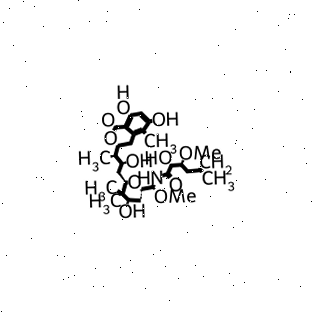 C=C(C)C[C@H](OC)[C@H](O)C(=O)N[C@@H](OC)[C@@H]1C[C@@H](O)C(C)(C)[C@@H](C[C@H](O)[C@@H](C)C2Cc3c(C)c(O)cc(O)c3C(=O)O2)O1